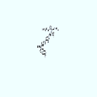 CSC(=O)N(C)C1CN(c2ccc(N3CCN(C(=O)c4ccc5cc(F)ccc5c4)CC3)c(F)c2)C(=O)O1